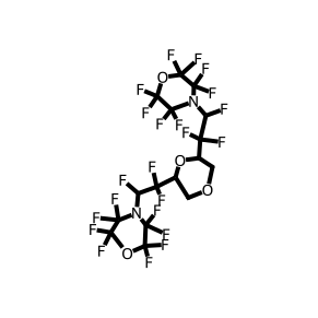 FC(N1C(F)(F)C(F)(F)OC(F)(F)C1(F)F)C(F)(F)C1COCC(C(F)(F)C(F)N2C(F)(F)C(F)(F)OC(F)(F)C2(F)F)O1